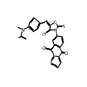 C=C(C)N(C)c1ccc(/C=C2/OC(=S)N(c3ccc4c(c3)C(=O)c3ccccc3C4=O)C2=O)cc1